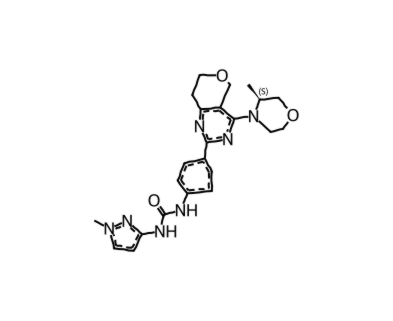 C[C@H]1COCCN1c1nc(-c2ccc(NC(=O)Nc3ccn(C)n3)cc2)nc2c1COCC2